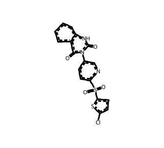 O=c1[nH]c2ccccc2c(=O)n1-c1ccc(S(=O)(=O)c2ccc(Cl)s2)nc1